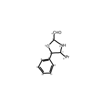 CC(C)C1NC(C=O)OC1c1ccccc1